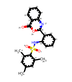 Cc1cc(C)c(S(=O)(=O)Nc2ccccc2-c2nc3ccccc3c(=O)o2)c(C)c1